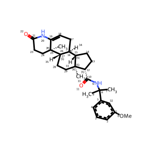 COc1cccc(C(C)(C)NC(=O)[C@H]2CC[C@H]3[C@@H]4CC=C5NC(=O)CC[C@]5(C)[C@H]4CC[C@]23C)c1